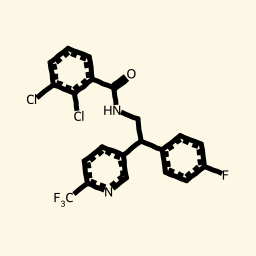 O=C(NCC(c1ccc(F)cc1)c1ccc(C(F)(F)F)nc1)c1cccc(Cl)c1Cl